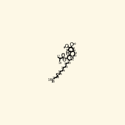 COc1cc2c(cc1OC)[C@@H]1C[C@H](OC(=O)C(C)C)[C@@H](CCCCCCCSCC[18F])CN1CC2